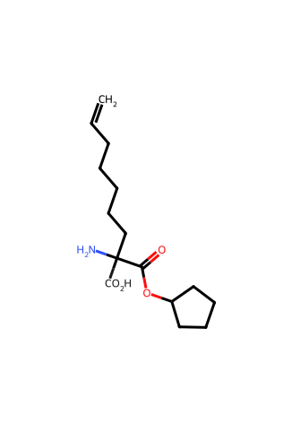 C=CCCCCCC(N)(C(=O)O)C(=O)OC1CCCC1